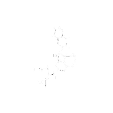 NC(=O)[C@@H](Nc1cc2c3c(c(-c4ccc5ncncc5c4)[nH]c3c1)NCCO2)C1CC1